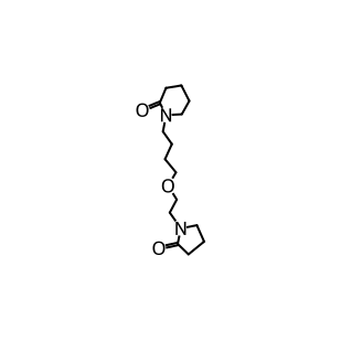 O=C1CCCCN1CCCCOCCN1CCCC1=O